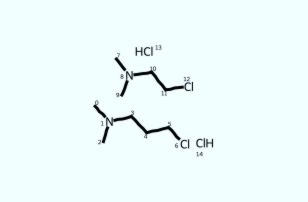 CN(C)CCCCl.CN(C)CCCl.Cl.Cl